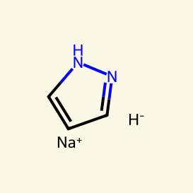 [H-].[Na+].c1cn[nH]c1